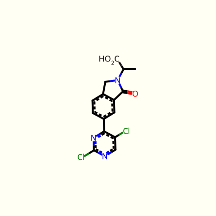 CC(C(=O)O)N1Cc2ccc(-c3nc(Cl)ncc3Cl)cc2C1=O